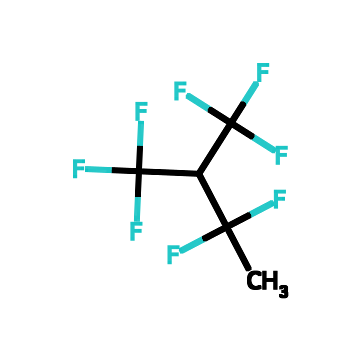 CC(F)(F)C(C(F)(F)F)C(F)(F)F